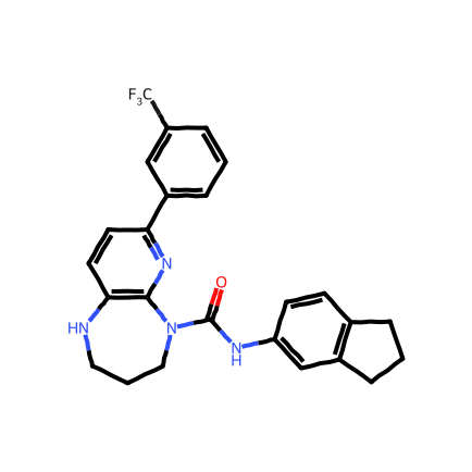 O=C(Nc1ccc2c(c1)CCC2)N1CCCNc2ccc(-c3cccc(C(F)(F)F)c3)nc21